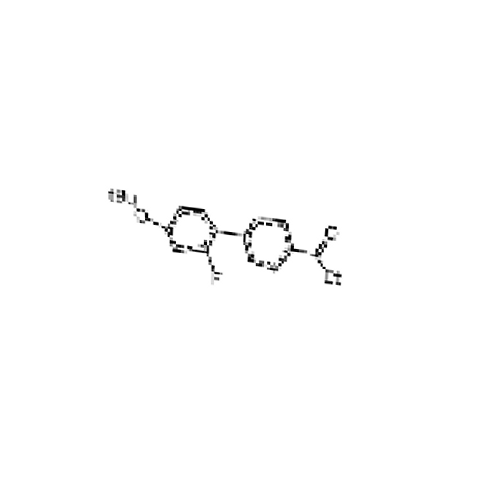 CCC(=O)c1ccc(-c2ccc(OC(C)(C)C)cc2F)cc1